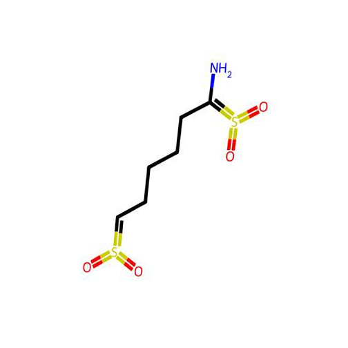 NC(CCCCC=S(=O)=O)=S(=O)=O